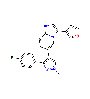 Cn1cc(C2=CN3C(c4ccoc4)=CNC3C=C2)c(-c2ccc(F)cc2)n1